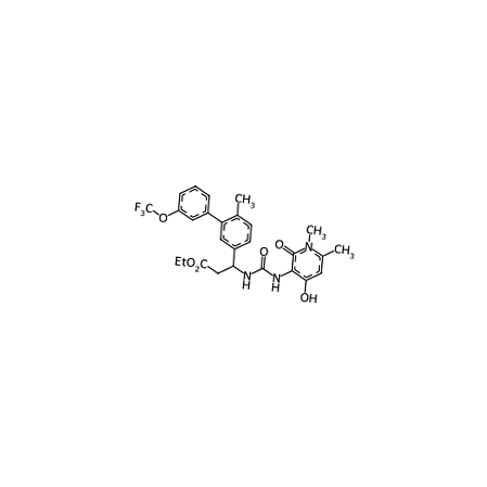 CCOC(=O)CC(NC(=O)Nc1c(O)cc(C)n(C)c1=O)c1ccc(C)c(-c2cccc(OC(F)(F)F)c2)c1